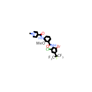 COc1c(NC(=O)c2cc[n+](C)cc2)cccc1C(=O)Nc1c(Cl)cc(C(F)(C(F)(F)F)C(F)(F)F)cc1Br